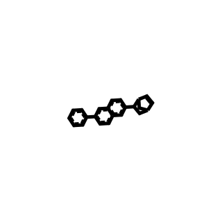 C1=CC2CC1CC2c1ccc2cc(-c3ccccc3)ccc2c1